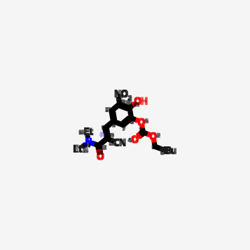 CCC(C)COC(=O)Oc1cc(/C=C(\C#N)C(=O)N(CC)CC)cc([N+](=O)[O-])c1O